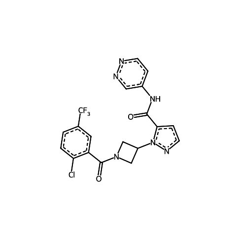 O=C(Nc1ccnnc1)c1ccnn1C1CN(C(=O)c2cc(C(F)(F)F)ccc2Cl)C1